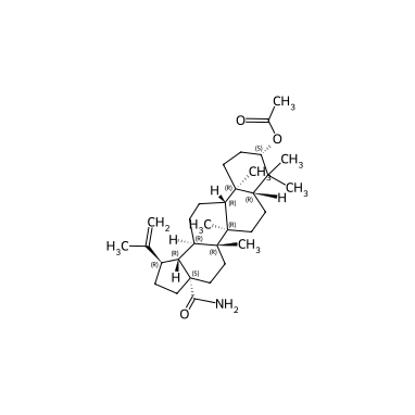 C=C(C)[C@@H]1CC[C@]2(C(N)=O)CC[C@]3(C)[C@H](CC[C@@H]4[C@@]5(C)CC[C@H](OC(C)=O)C(C)(C)[C@@H]5CC[C@]43C)[C@@H]12